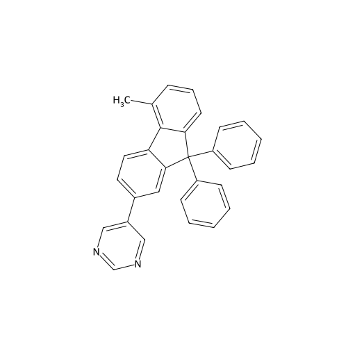 Cc1cccc2c1-c1ccc(-c3cncnc3)cc1C2(c1ccccc1)c1ccccc1